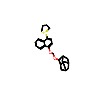 c1ccc2c([SH]3CCCC3)ccc(OCOC3C4CC5CC(C4)CC3C5)c2c1